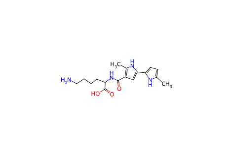 Cc1ccc(-c2cc(C(=O)NC(CCCCN)C(=O)O)c(C)[nH]2)[nH]1